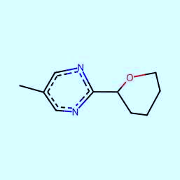 Cc1cnc(C2CCCCO2)nc1